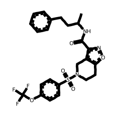 CC(CCc1ccccc1)NC(=O)c1noc2c1CN(S(=O)(=O)c1ccc(OC(F)(F)F)cc1)CC2